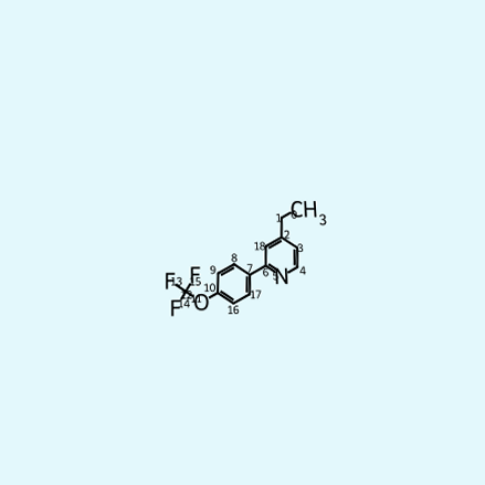 CCc1ccnc(-c2ccc(OC(F)(F)F)cc2)c1